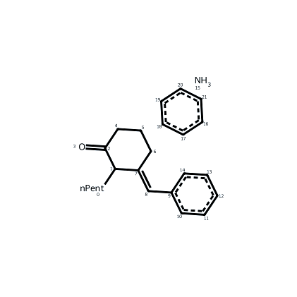 CCCCCC1C(=O)CCCC1=Cc1ccccc1.N.c1ccccc1